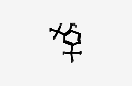 Nc1cnc(C(F)(F)F)cc1C(F)(F)F